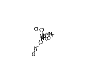 CC(C)NC(=O)Cn1c(-c2cccc(Cl)c2)nn(-c2ccc(CCN3CC4(COC4)C3)cc2)c1=O